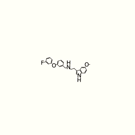 COc1ccc2[nH]cc(CCNCc3cccc(Oc4cccc(F)c4)c3)c2c1